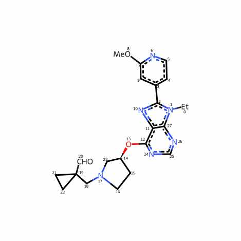 CCn1c(-c2ccnc(OC)c2)nc2c(O[C@H]3CCN(CC4(C=O)CC4)C3)ncnc21